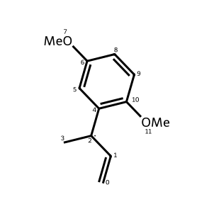 C=C[C](C)c1cc(OC)ccc1OC